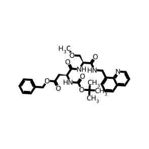 COC[C@H](NC(=O)[C@H](CC(=O)OCc1ccccc1)NC(=O)OC(C)(C)C)C(=O)NCc1cccc2cccnc12